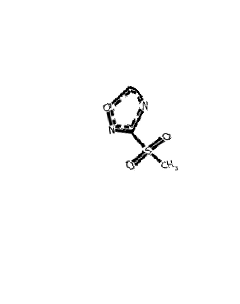 CS(=O)(=O)c1ncon1